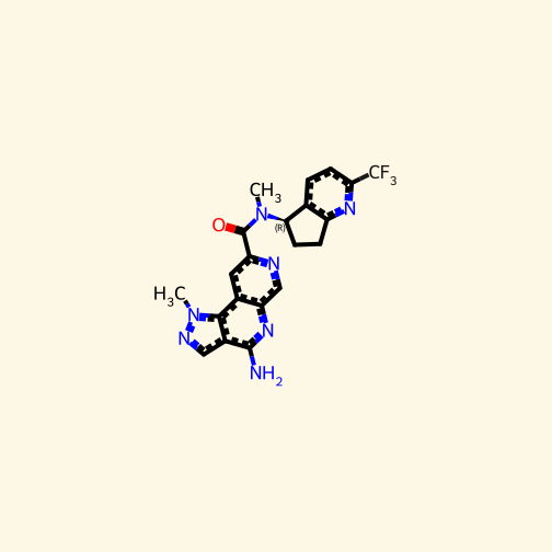 CN(C(=O)c1cc2c(cn1)nc(N)c1cnn(C)c12)[C@@H]1CCc2nc(C(F)(F)F)ccc21